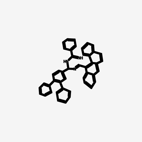 N=C(NC(/N=C/c1c2ccccc2cc2ccc3ccccc3c12)c1ccc(-c2ccccc2)c(-c2ccccc2)c1)c1ccccc1